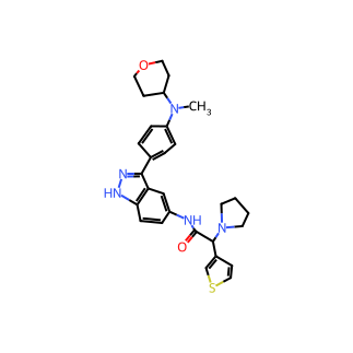 CN(c1ccc(-c2n[nH]c3ccc(NC(=O)C(c4ccsc4)N4CCCC4)cc23)cc1)C1CCOCC1